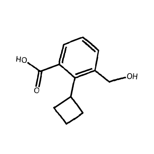 O=C(O)c1cccc(CO)c1C1CCC1